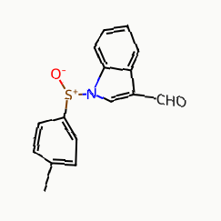 Cc1ccc([S+]([O-])n2cc(C=O)c3ccccc32)cc1